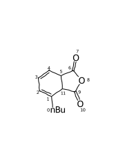 CCCCC1=CC=CC2C(=O)OC(=O)C12